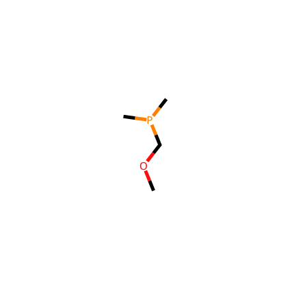 COCP(C)C